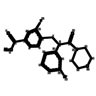 COC(=O)c1ccc(CN(C(=O)N2CCOCC2)c2cccc(Br)c2)c(F)c1